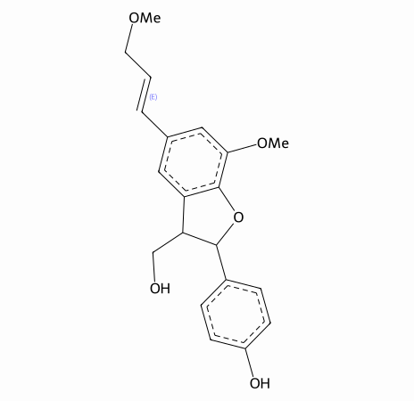 COC/C=C/c1cc(OC)c2c(c1)C(CO)C(c1ccc(O)cc1)O2